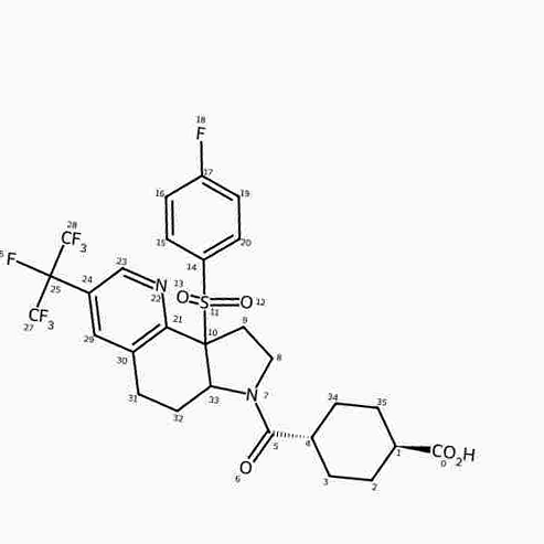 O=C(O)[C@H]1CC[C@H](C(=O)N2CCC3(S(=O)(=O)c4ccc(F)cc4)c4ncc(C(F)(C(F)(F)F)C(F)(F)F)cc4CCC23)CC1